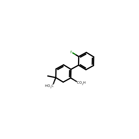 CC1(C(=O)O)C=CC(c2ccccc2F)=C(C(=O)O)C1